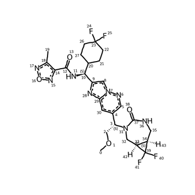 COC[C@H](c1cnn2cc([C@@H](NC(=O)c3nonc3C)C3CCC(F)(F)CC3)nc2c1)N1C[C@H]2[C@@H](CNC1=O)C2(F)F